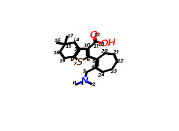 CN(C)CC1=C(c2sc3c(c2C(=O)O)CC(C)(C)CC3)CCCCC1